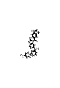 COC1CCN(c2nccc(Nc3cc4c(cn3)nc(C)n4C(C)c3ccc4[nH]cnc4c3)n2)CC1